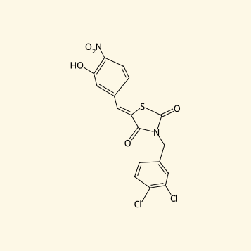 O=C1S/C(=C\c2ccc([N+](=O)[O-])c(O)c2)C(=O)N1Cc1ccc(Cl)c(Cl)c1